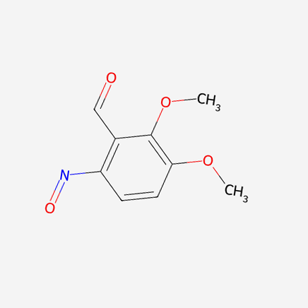 COc1ccc(N=O)c(C=O)c1OC